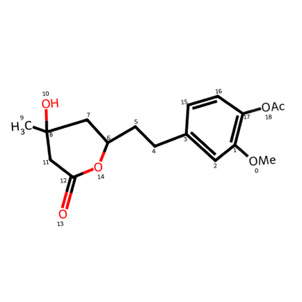 COc1cc(CCC2CC(C)(O)CC(=O)O2)ccc1OC(C)=O